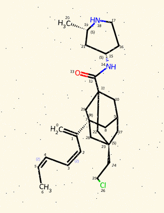 C=C(/C=C\C=C/C)[C@]12CC3CC(C(=O)N[C@H]4CCN[C@@H](C)C4)(C[C@](CCCl)(C3)C1)C2